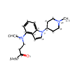 CNC(=O)CCN(C=O)c1cccc2c1ccn2C1CCN(C)CC1